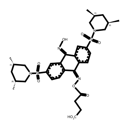 C[C@@H]1C[C@H](C)CN(S(=O)(=O)c2ccc3c(c2)C(=NO)c2cc(S(=O)(=O)N4C[C@H](C)C[C@H](C)C4)ccc2C3=NOC(=O)CCC(=O)O)C1